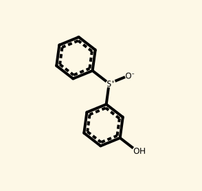 [O-][S+](c1ccccc1)c1cccc(O)c1